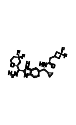 N[C@H](c1nc2ccc([C@H](NC(=O)CC3CC(F)(F)C3)C3CC3)cc2[nH]1)[C@@H]1CC(F)(F)CCO1